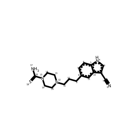 N#Cc1c[nH]c2ccc(CCCN3CCN(C(N)=S)CC3)cc12